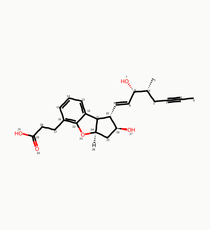 CC#CC[C@@H](C)[C@@H](O)/C=C/[C@H]1C2c3cccc(CCC(=O)O)c3O[C@@H]2C[C@@H]1O